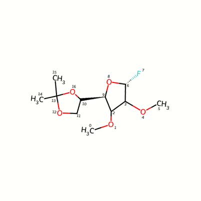 COC1C(OC)[C@@H](F)O[C@@H]1C1COC(C)(C)O1